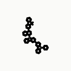 CC1(C)c2ccccc2-c2ccc(-c3ccc(-n4c5ccccc5c5cc(-c6ccc7c(c6)c6ccccc6n7-c6ccccc6)ccc54)c4ccccc34)cc21